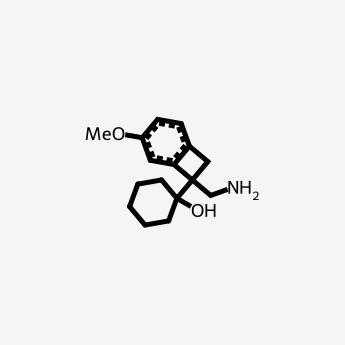 COc1ccc2c(c1)C(CN)(C1(O)CCCCC1)C2